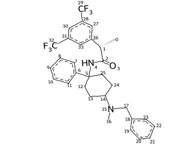 C[C@H](C(=O)NC1(c2ccccc2)CCC(N(C)Cc2ccccc2)CC1)c1cc(C(F)(F)F)cc(C(F)(F)F)c1